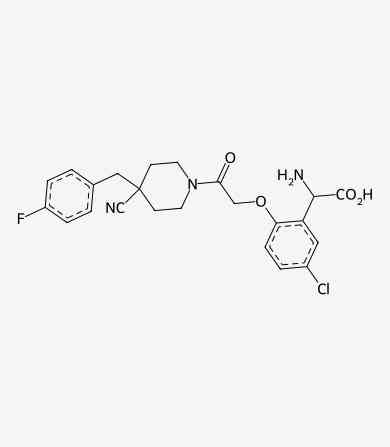 N#CC1(Cc2ccc(F)cc2)CCN(C(=O)COc2ccc(Cl)cc2C(N)C(=O)O)CC1